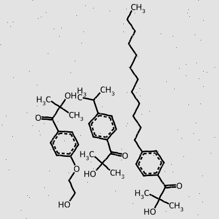 CC(C)(O)C(=O)c1ccc(OCCO)cc1.CC(C)c1ccc(C(=O)C(C)(C)O)cc1.CCCCCCCCCCCCc1ccc(C(=O)C(C)(C)O)cc1